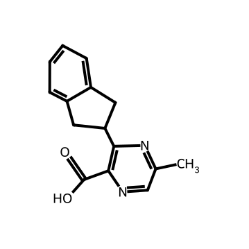 Cc1cnc(C(=O)O)c(C2Cc3ccccc3C2)n1